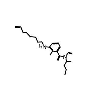 C=CCCCCCCNc1cccc(C(=C)N(C=C)C(C)CCC)c1C